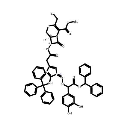 CC(C)(C)OC(=O)C1=C(CCl)SC[C@@H]2[C@H](NC(=O)CC3=C/S(=N/OC(C(=O)OC(c4ccccc4)c4ccccc4)c4ccc(O)c(O)c4)C(NC(c4ccccc4)(c4ccccc4)c4ccccc4)=N3)C(=O)N12